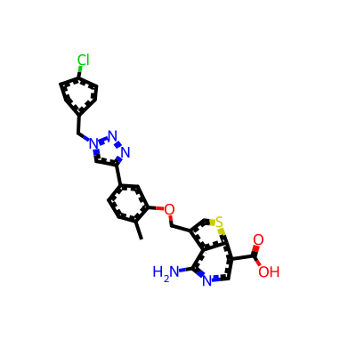 Cc1ccc(-c2cn(Cc3ccc(Cl)cc3)nn2)cc1OCc1csc2c(C(=O)O)cnc(N)c12